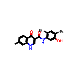 Cc1ccc2c(=O)c(C(=O)Nc3cc(O)c(C(C)(C)C)cc3C(C)(C)C)c[nH]c2c1